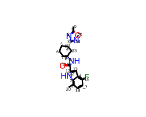 Cc1nc([C@H]2CCC[C@@H](NC(=O)c3cc4c(F)ccc(C)c4[nH]3)C2)no1